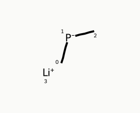 C[P-]C.[Li+]